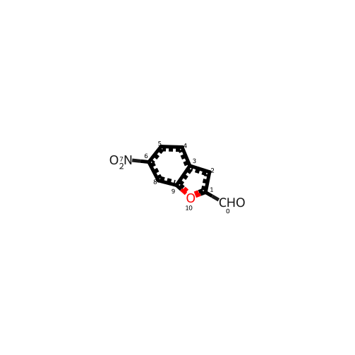 O=Cc1cc2ccc([N+](=O)[O-])cc2o1